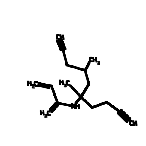 C#CCCC(C)(CC(C)CC#C)NC(=C)C=C